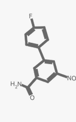 NC(=O)c1cc(-c2ccc(F)cc2)cc([N+](=O)[O-])c1